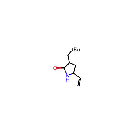 C=CC1CC(CC(C)(C)C)C(=O)N1